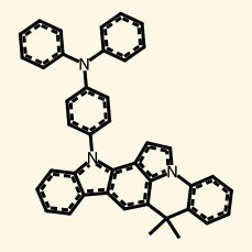 CC1(C)c2ccccc2-n2ccc3c2c1cc1c2ccccc2n(-c2ccc(N(c4ccccc4)c4ccccc4)cc2)c13